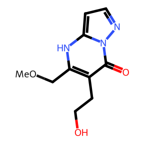 COCc1[nH]c2ccnn2c(=O)c1CCO